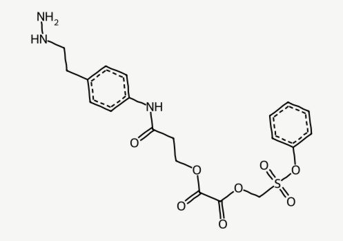 NNCCc1ccc(NC(=O)CCOC(=O)C(=O)OCS(=O)(=O)Oc2ccccc2)cc1